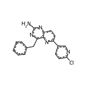 Nc1nc(Cc2ccccc2)c2nc(-c3ccc(Cl)nc3)ccc2n1